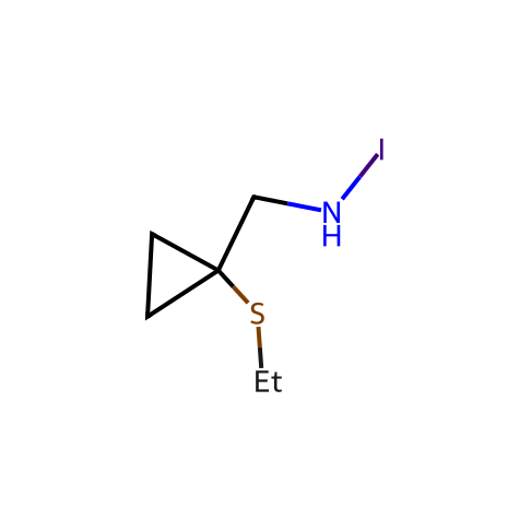 CCSC1(CNI)CC1